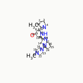 Cc1cccnc1[C@@H]1CC(=O)C[C@H](C2CN3C(N4CCN(C)CC4)=CC=CC3=N2)N1